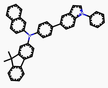 CC1(C)c2ccccc2-c2ccc(N(c3ccc(-c4ccc5c(ccn5-c5ccccc5)c4)cc3)c3ccc4ccccc4c3)cc21